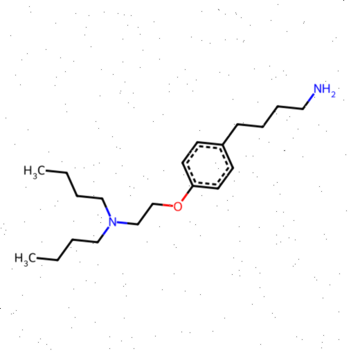 CCCCN(CCCC)CCOc1ccc(CCCCN)cc1